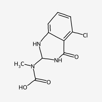 CN(C(=O)O)C1NC(=O)c2c(Cl)cccc2N1